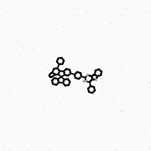 c1ccc(C2=c3sc4ccccc4c3=NC(c3ccc(-c4ccc5c(c4)C4(c6ccccc6-c6ccccc64)c4c-5c(-c5ccccc5)cc5ccccc45)cc3)N2)cc1